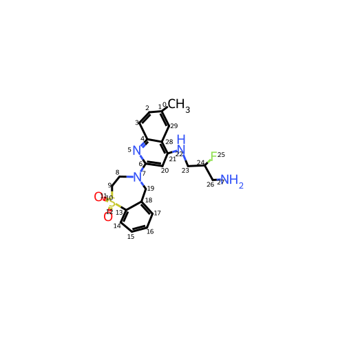 Cc1ccc2nc(N3CCS(=O)(=O)c4ccccc4C3)cc(NCC(F)CN)c2c1